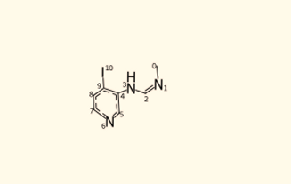 C/N=C\Nc1cnccc1I